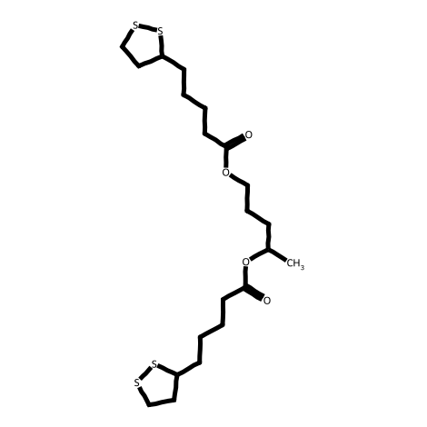 CC(CCCOC(=O)CCCCC1CCSS1)OC(=O)CCCCC1CCSS1